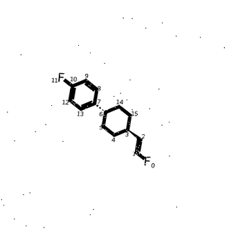 FC=C[C@H]1CC[C@H](c2ccc(F)cc2)CC1